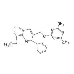 CCc1cccc2cc(COc3cc(C)nc(N)n3)c(-c3ccccc3)nc12